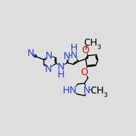 COc1cccc(OCC2CNCCN2C)c1-c1cc(Nc2cnc(C#N)cn2)n[nH]1